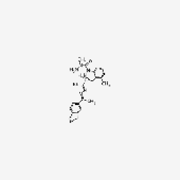 CC/C(=N\N=C(C)c1ccc2c(c1)CCC2)OCc1c(C)cccc1N(N)C(=O)N(C)N